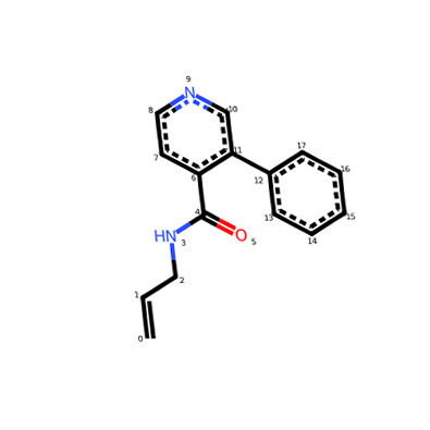 C=CCNC(=O)c1ccn[c]c1-c1ccccc1